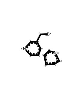 BrCc1cccnc1.c1ccncc1